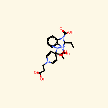 CCC1N(C(=O)O)c2ccc3cc2[N+]1(C(=O)O)N3C1(C(C)=O)C=CN(CCC(=O)O)C=C1